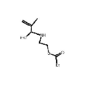 C=C(C)C(O)NCCOC(=O)CC